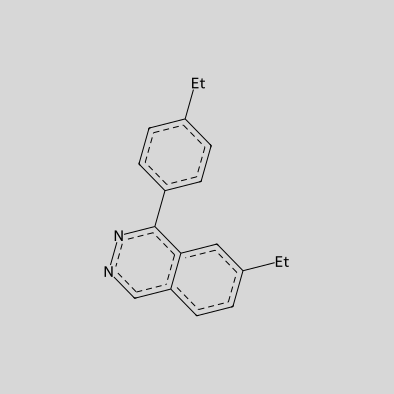 CCc1ccc(-c2nncc3ccc(CC)cc23)cc1